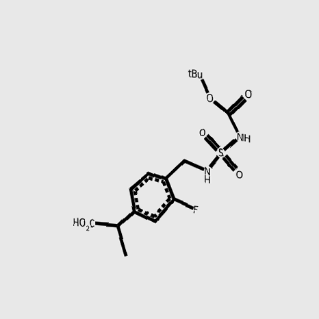 CC(C(=O)O)c1ccc(CNS(=O)(=O)NC(=O)OC(C)(C)C)c(F)c1